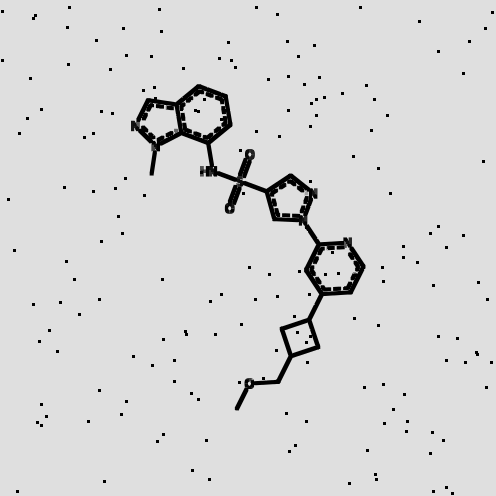 COCC1CC(c2ccnc(-n3cc(S(=O)(=O)Nc4cccc5cnn(C)c45)cn3)c2)C1